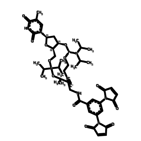 [C-]#[N+]CCOP(O[C@@H]1C[C@H](n2cc(C)c(=O)[nH]c2=O)O[C@@H]1CO[Si](OC(C)(C)CCNC(=O)c1cc(N2C(=O)C=CC2=O)cc(N2C(=O)C=CC2=O)c1)(C(C)C)C(C)C)N(C(C)C)C(C)C